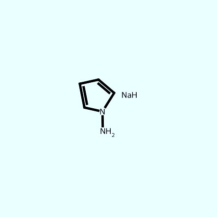 Nn1cccc1.[NaH]